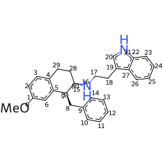 COc1ccc2c(c1)[C@H](Cc1ccccc1)[C@H](NCCc1c[nH]c3ccccc13)CC2